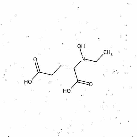 CCN(O)[C@@H](CCC(=O)O)C(=O)O